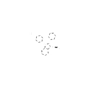 N#Cc1c(-c2ccccc2)n(-c2ccc(O)cc2)c2cccc(F)c12